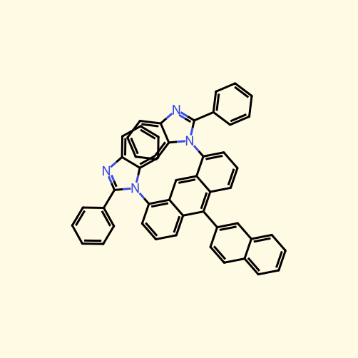 c1ccc(-c2nc3ccccc3n2-c2cccc3c(-c4ccc5ccccc5c4)c4cccc(-n5c(-c6ccccc6)nc6ccccc65)c4cc23)cc1